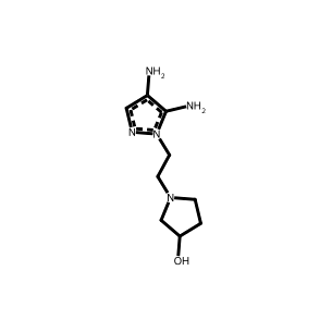 Nc1cnn(CCN2CCC(O)C2)c1N